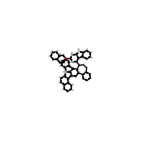 c1ccc2c(c1)CCC(c1nc(-c3ccc4ccccc4c3)nc3oc4ccccc4c13)c1c-2cc2c3c4ccccc4ccc3n3c4ccccc4c1c23